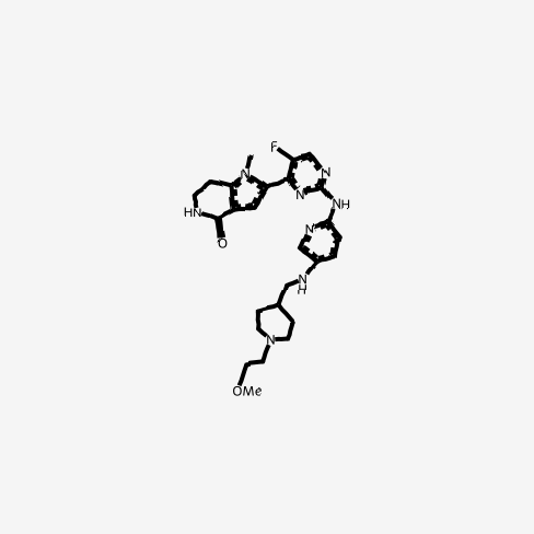 COCCN1CCC(CNc2ccc(Nc3ncc(F)c(-c4cc5c(n4C)CCNC5=O)n3)nc2)CC1